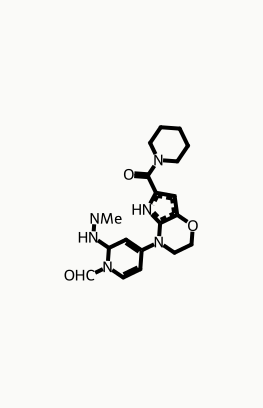 CNNC1C=C(N2CCOc3cc(C(=O)N4CCCCC4)[nH]c32)C=CN1C=O